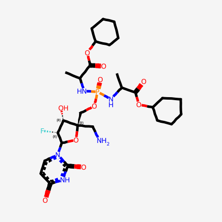 CC(NP(=O)(NC(C)C(=O)OC1CCCCC1)OC[C@@]1(CN)OC(n2ccc(=O)[nH]c2=O)[C@H](F)[C@@H]1O)C(=O)OC1CCCCC1